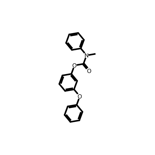 CN(C(=O)Oc1cccc(Oc2ccccc2)c1)c1ccccc1